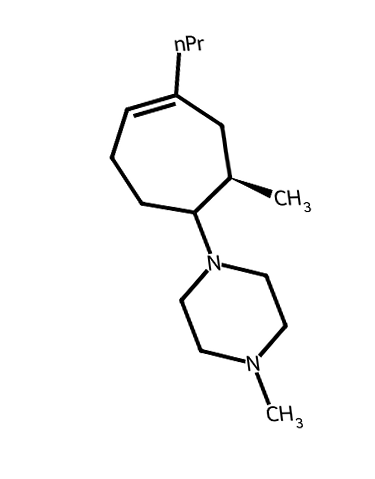 CCCC1=CCCC(N2CCN(C)CC2)[C@H](C)C1